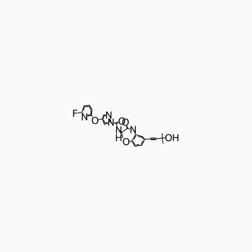 CN1C(=O)C(NC(=O)n2cc(Oc3cccc(F)n3)cn2)COc2ccc(C#CC(C)(C)O)cc21